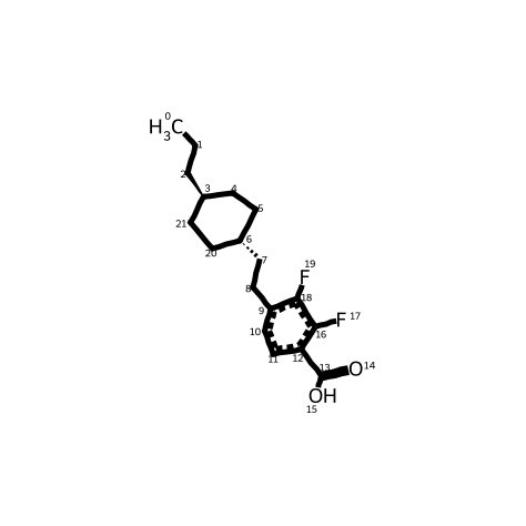 CCC[C@H]1CC[C@H](CCc2ccc(C(=O)O)c(F)c2F)CC1